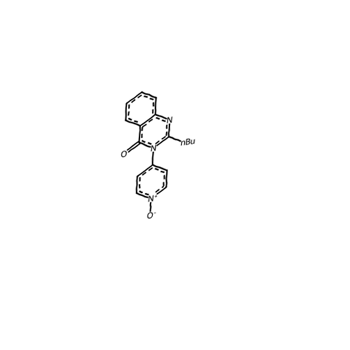 CCCCc1nc2ccccc2c(=O)n1-c1cc[n+]([O-])cc1